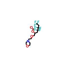 O=COC(COCCN1CCOCC1)CC(F)(F)C(F)(F)CC(F)(F)F